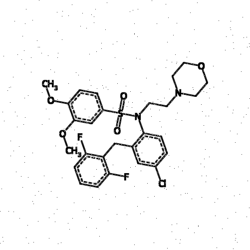 COc1ccc(S(=O)(=O)N(CCN2CCOCC2)c2ccc(Cl)cc2Cc2c(F)cccc2F)cc1OC